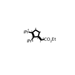 CCOC(=O)/C=C1\CCC(C(C)C)=C1C(C)C